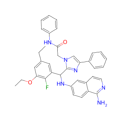 CCOc1cc(CC)cc(C(Nc2ccc3c(N)nccc3c2)c2nc(-c3ccccc3)cn2CC(=O)Nc2ccccc2)c1F